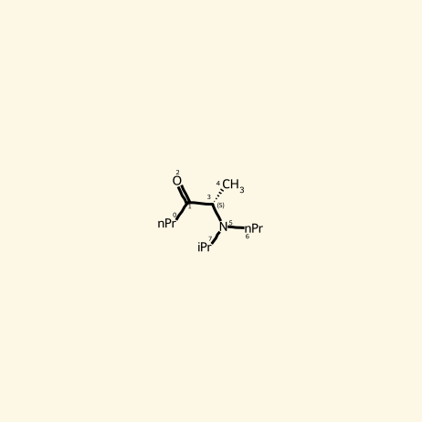 CCCC(=O)[C@H](C)N(CCC)C(C)C